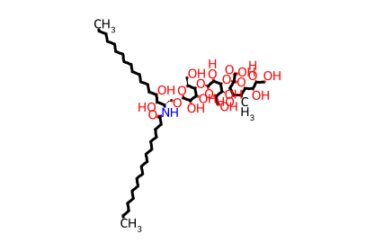 CCCCCCCCCCCCCCCCCC(=O)N[C@@H](CO[C@@H]1O[C@@H](CO)[C@@H](O[C@@H]2OC(CO)[C@H](O)[C@H](O[C@]3(C(=O)O)CC(O)[C@@H](C)[C@H]([C@H](O)[C@H](O)CO)O3)C2O)C(O)C1O)[C@H](O)[C@H](O)CCCCCCCCCCCCCC